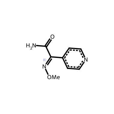 CO/N=C(/C(N)=O)c1ccncc1